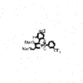 CNCc1cn(S(=O)(=O)c2cccc(C(F)(F)F)c2)c(-c2c(F)cccc2F)c1OC.Cl